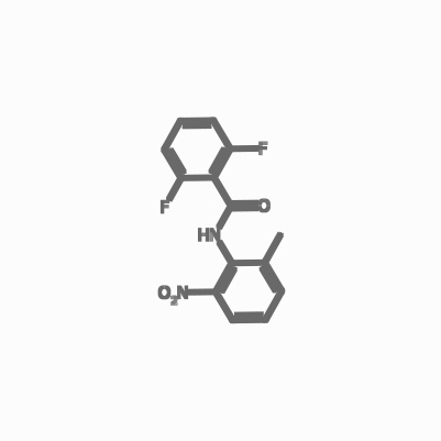 Cc1cccc([N+](=O)[O-])c1NC(=O)c1c(F)cccc1F